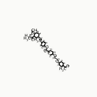 COc1ccc(N=Nc2ccc(OC(=O)c3ccc(OCCOc4ccc(C(C)=O)cc4)cc3)cc2)cc1C(C)(C)C